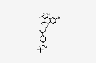 Cc1n[nH]c2c1c(=O)n(CCCC(=O)N1CCN(C(=O)OC(C)(C)C)CC1)c1ccc(Br)cc21